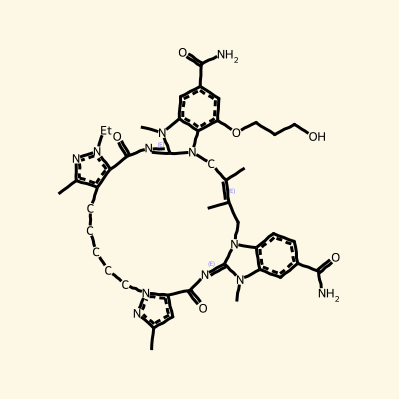 CCn1nc(C)c2c1C(=O)/N=C1\N(C)c3cc(C(N)=O)cc(OCCCO)c3N1C/C(C)=C(\C)CN1/C(=N/C(=O)c3cc(C)nn3CCCCC2)N(C)c2cc(C(N)=O)ccc21